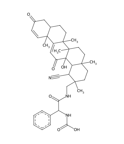 CC1(CNC(=O)C(NC(=O)O)c2ccccc2)CCC2(C)CCC3(C)C4(C)CCC5CC(=O)C=CC5(C)C4=CC(=O)C3(O)C2C1C#N